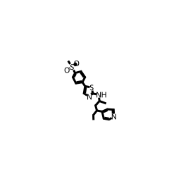 CCC(CC(C)Nc1ncc(-c2ccc(S(C)(=O)=O)cc2)s1)c1ccncc1